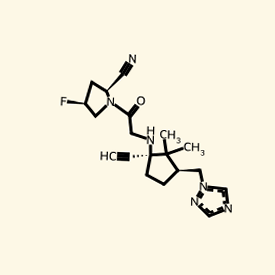 C#C[C@@]1(NCC(=O)N2C[C@@H](F)C[C@H]2C#N)CC[C@H](Cn2cncn2)C1(C)C